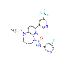 CCN1CCCCN(C(=O)Nc2cncc(F)c2)c2nc(-c3cncc(C(F)(F)F)c3)ccc21